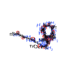 CCCCCCCC[C@H](NC(=O)CCCCCNC(=O)CCCCCNC(=O)CCCCCNC(=O)CCCC)C(=O)N[C@@H](CCN)C(=O)N[C@H](C(=O)N[C@@H](CCN)C(=O)N[C@H]1CCNC(=O)[C@H]([C@@H](C)O)NC(=O)[C@H](CCN)NC(=O)[C@H](CCN)NC(=O)[C@H](CC(C)C)NC(=O)[C@@H](Cc2ccccc2)NC(=O)[C@H](CCN)NC1=O)[C@@H](C)O